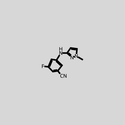 Cn1ccc(Nc2cc(F)cc(C#N)c2)n1